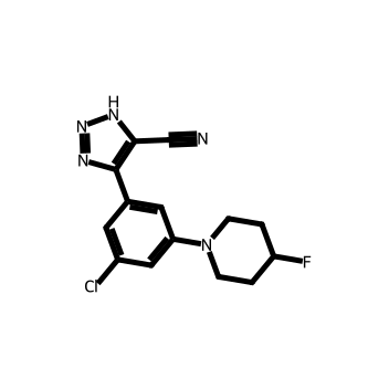 N#Cc1[nH]nnc1-c1cc(Cl)cc(N2CCC(F)CC2)c1